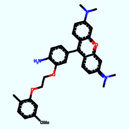 COc1ccc(C)c(OCCOc2cc(-c3c4ccc(=[N+](C)C)cc-4oc4cc(N(C)C)ccc34)ccc2N)c1